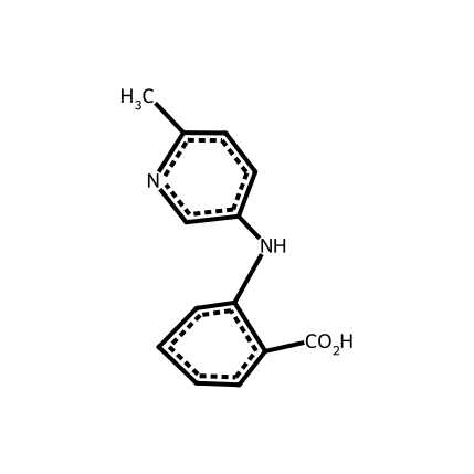 Cc1ccc(Nc2ccccc2C(=O)O)cn1